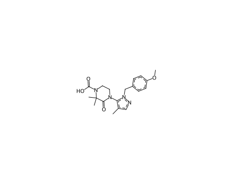 COc1ccc(Cn2ncc(C)c2N2CCN(C(=O)O)C(C)(C)C2=O)cc1